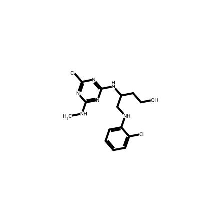 CNc1nc(Cl)nc(NC(CCO)CNc2ccccc2Cl)n1